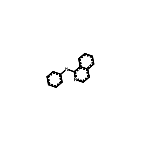 c1ccc([N]c2nccc3ccccc23)cc1